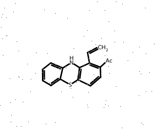 C=Cc1c(C(C)=O)ccc2c1Nc1ccccc1S2